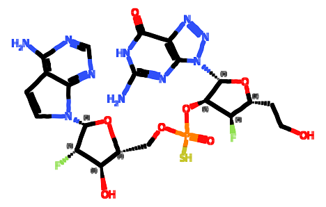 Nc1nc2c(nnn2[C@@H]2O[C@H](CCO)[C@@H](F)[C@H]2OP(=O)(S)OC[C@H]2O[C@@H](n3ccc4c(N)ncnc43)[C@@H](F)[C@@H]2O)c(=O)[nH]1